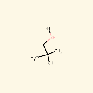 [2H]BCC(C)(C)C